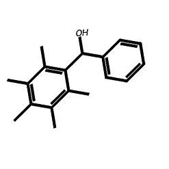 Cc1c(C)c(C)c(C(O)c2ccccc2)c(C)c1C